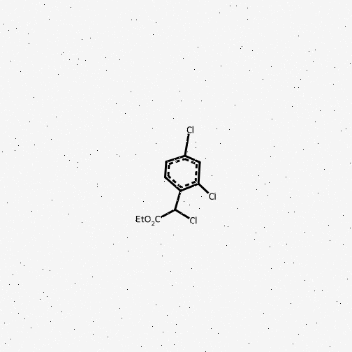 CCOC(=O)C(Cl)c1ccc(Cl)cc1Cl